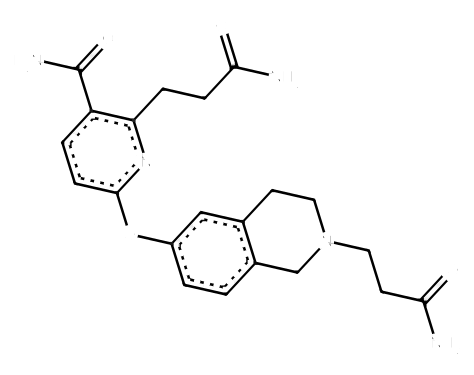 NC(=O)CCc1nc(Oc2ccc3c(c2)CCN(CCC(N)=O)C3)ccc1C(N)=O